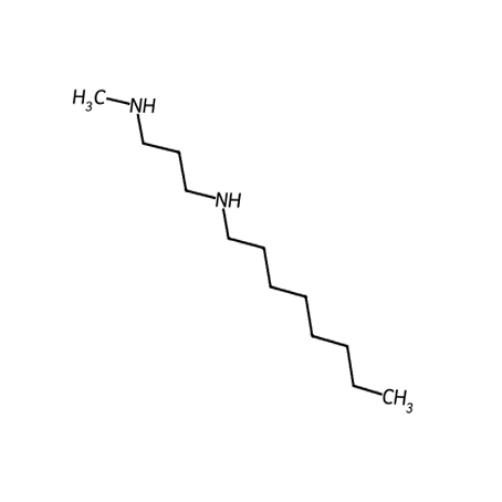 CCCCCCCCNCCCNC